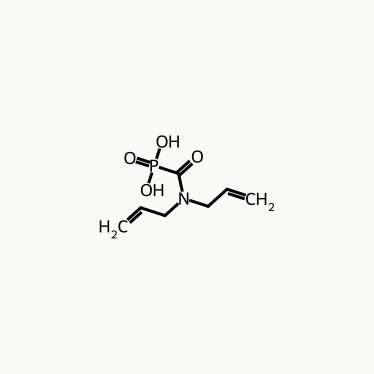 C=CCN(CC=C)C(=O)P(=O)(O)O